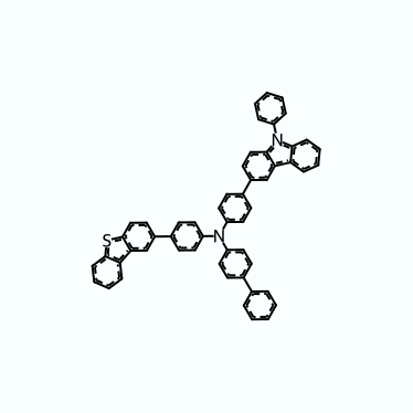 c1ccc(-c2ccc(N(c3ccc(-c4ccc5sc6ccccc6c5c4)cc3)c3ccc(-c4ccc5c(c4)c4ccccc4n5-c4ccccc4)cc3)cc2)cc1